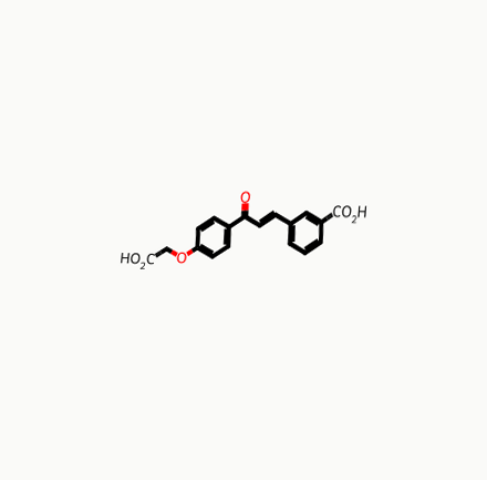 O=C(O)COc1ccc(C(=O)C=Cc2cccc(C(=O)O)c2)cc1